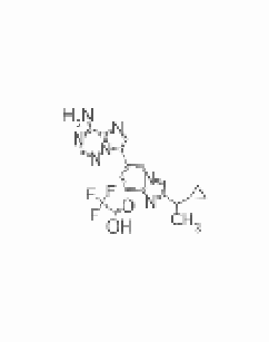 CC(c1cn2cc(-c3cnc4c(N)ncnn34)ccc2n1)C1CC1.O=C(O)C(F)(F)F